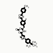 Cc1ccc(-c2nc(-c3ccc(C[C@@H](NC(=O)c4cn(-c5ccc(C(C)(C)C)cc5)nn4)OC=O)cc3F)no2)cc1